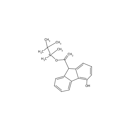 C=C(O[Si](C)(C)C(C)(C)C)C1c2ccccc2-c2c(O)cccc21